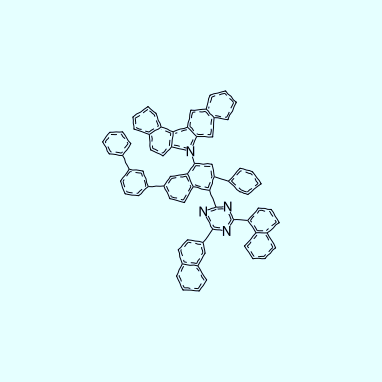 c1ccc(-c2cccc(-c3ccc4c(-c5nc(-c6ccc7ccccc7c6)nc(-c6cccc7ccccc67)n5)c(-c5ccccc5)cc(-n5c6cc7ccccc7cc6c6c7ccccc7ccc65)c4c3)c2)cc1